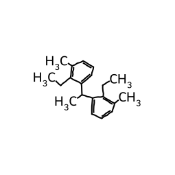 CCc1c(C)cccc1C(C)c1cccc(C)c1CC